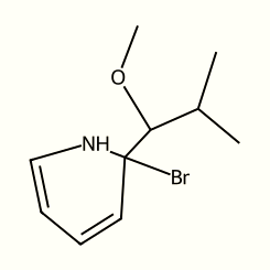 COC(C(C)C)C1(Br)C=CC=CN1